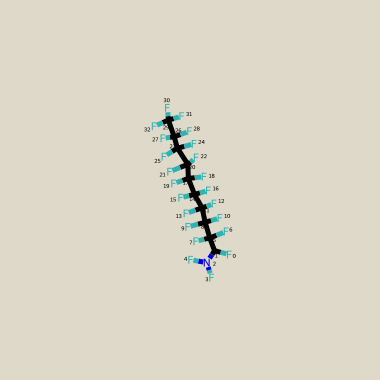 FC(N(F)F)C(F)(F)C(F)(F)C(F)(F)C(F)(F)C(F)(F)C(F)(F)C(F)(F)C(F)(F)C(F)(F)F